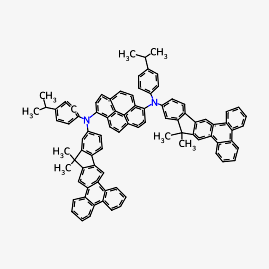 CC(C)c1ccc(N(c2ccc3c(c2)C(C)(C)c2cc4c5ccccc5c5ccccc5c4cc2-3)c2ccc3ccc4c(N(c5ccc(C(C)C)cc5)c5ccc6c(c5)C(C)(C)c5cc7c8ccccc8c8ccccc8c7cc5-6)ccc5ccc2c3c54)cc1